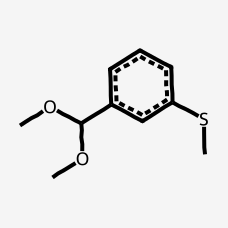 COC(OC)c1cccc(SC)c1